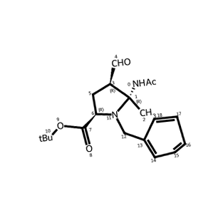 CC(=O)N[C@@]1(C)[C@H](C=O)C[C@H](C(=O)OC(C)(C)C)N1Cc1ccccc1